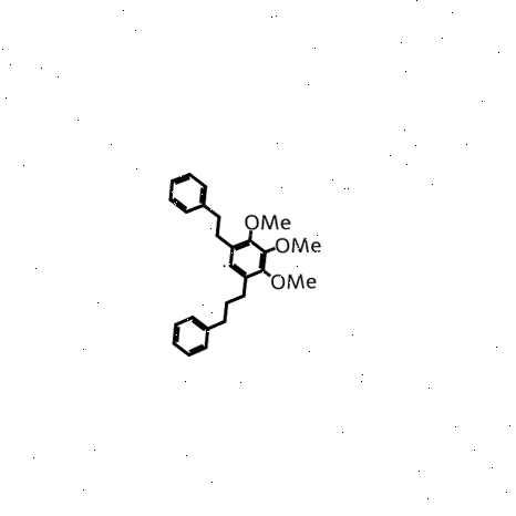 COc1c(CCCc2ccccc2)[c]c(CCc2ccccc2)c(OC)c1OC